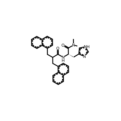 CN(C)C(=O)[C@H](Cc1c[nH]cn1)NC(=O)C(Cc1cccc2ccccc12)Cc1cccc2ccccc12